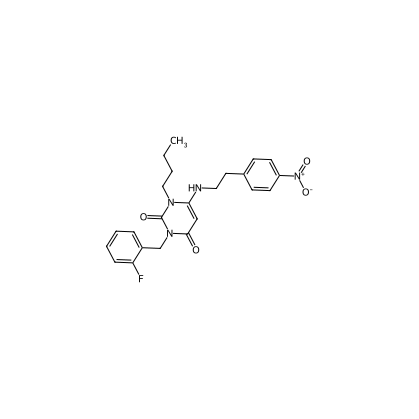 CCCCn1c(NCCc2ccc([N+](=O)[O-])cc2)cc(=O)n(Cc2ccccc2F)c1=O